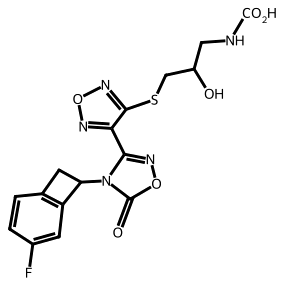 O=C(O)NCC(O)CSc1nonc1-c1noc(=O)n1C1Cc2ccc(F)cc21